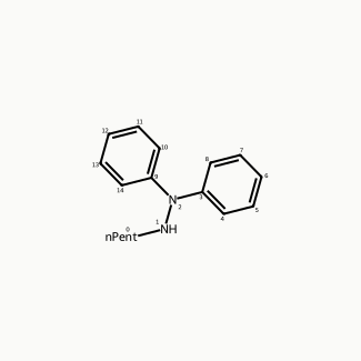 CCCCCNN(c1ccccc1)c1ccccc1